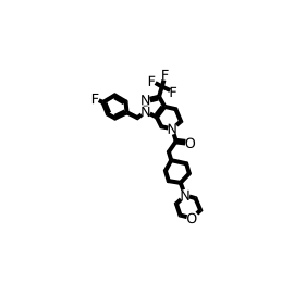 O=C(CC1CCC(N2CCOCC2)CC1)N1CCc2c(C(F)(F)F)nn(Cc3ccc(F)cc3)c2C1